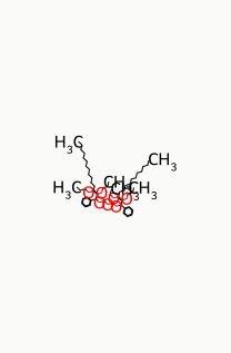 CCCCCCCCCCCCC(OCCC)=C(OCCC)C(OCOCOC(C(OCCC)=C(CCCCCCCCCCCC)OCCC)c1ccccc1)c1ccccc1